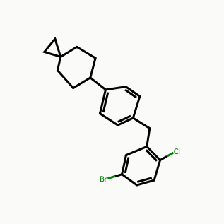 Clc1ccc(Br)cc1Cc1ccc(C2CCC3(CC2)CC3)cc1